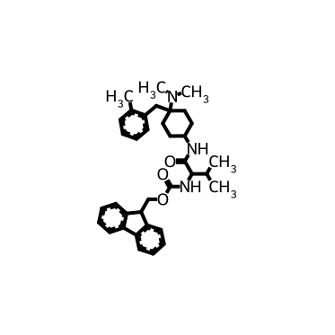 Cc1ccccc1CC1(N(C)C)CCC(NC(=O)C(NC(=O)OCC2c3ccccc3-c3ccccc32)C(C)C)CC1